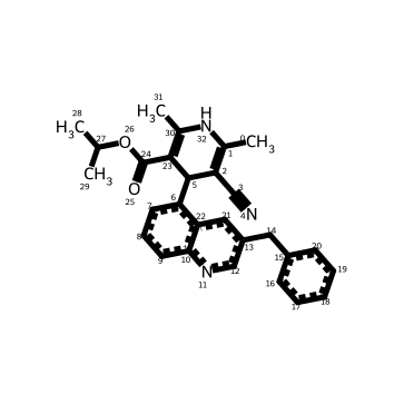 CC1=C(C#N)C(c2cccc3ncc(Cc4ccccc4)cc23)C(C(=O)OC(C)C)=C(C)N1